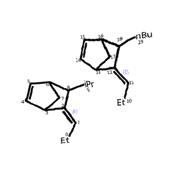 CC/C=C1\C2C=CC(C2)C1C(C)C.CC/C=C1\C2C=CC(C2)C1CCCC